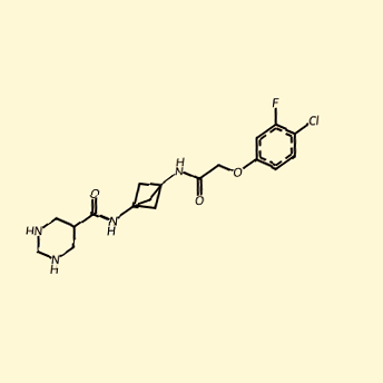 O=C(COc1ccc(Cl)c(F)c1)NC12CC(NC(=O)C3CNCNC3)(C1)C2